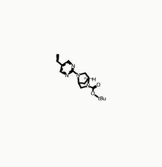 C=Cc1cnc(N2C[C@@H]3CC2CN3C(=O)OC(C)(C)C)nc1